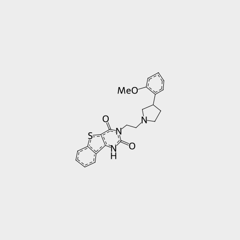 COc1ccccc1C1CCN(CCn2c(=O)[nH]c3c(sc4ccccc43)c2=O)C1